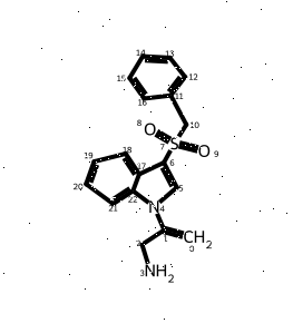 C=C(CN)n1cc(S(=O)(=O)Cc2ccccc2)c2ccccc21